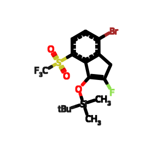 CC(C)(C)[Si](C)(C)OC1=C(F)Cc2c(Br)ccc(S(=O)(=O)C(F)(F)F)c21